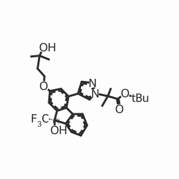 CC(C)(O)CCOc1cc(-c2cnn(C(C)(C)C(=O)OC(C)(C)C)c2)c2c(c1)[C@@](O)(C(F)(F)F)c1ccccc1-2